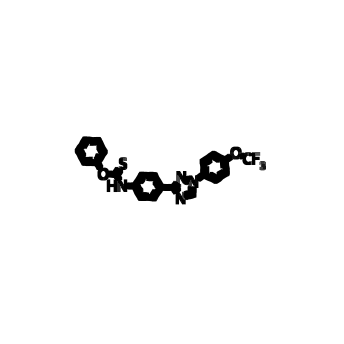 FC(F)(F)Oc1ccc(-n2cnc(-c3ccc(NC(=S)Oc4ccccc4)cc3)n2)cc1